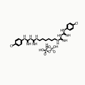 N=C(NCCCCCCNC(=N)NC(=N)Nc1ccc(Cl)cc1)NC(=N)Nc1ccc(Cl)cc1.O=P(O)(O)OP(=O)(O)O